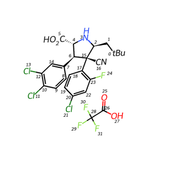 CC(C)(C)C[C@@H]1N[C@@H](C(=O)O)[C@H](c2ccc(Cl)c(Cl)c2)[C@@]1(C#N)c1ccc(Cl)cc1F.O=C(O)C(F)(F)F